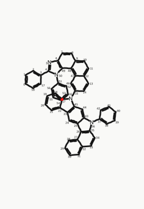 c1ccc(-c2nc3ccc4ccc5ccc(-n6c7ccccc7c7cc8c9c%10ccccc%10ccc9n(-c9ccccc9)c8cc76)cc5c4c3n2-c2ccccc2)cc1